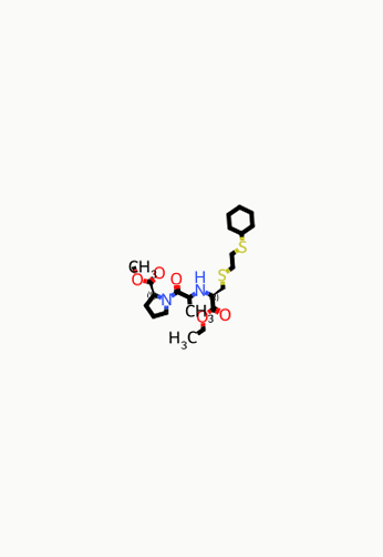 CCOC(=O)[C@H](CSCCSC1CCCCC1)NC(C)C(=O)N1CCC[C@H]1C(=O)OC